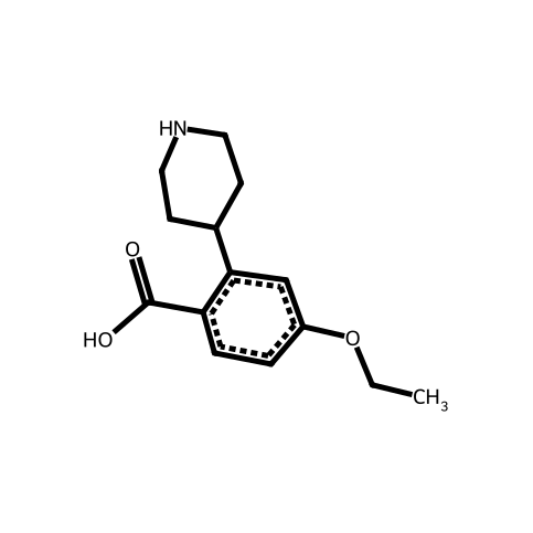 CCOc1ccc(C(=O)O)c(C2CCNCC2)c1